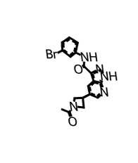 CC(=O)N1CC(c2cnc3[nH]nc(C(=O)Nc4cccc(Br)c4)c3c2)C1